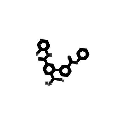 CC(N)c1ccc(C(=O)Nc2ccncc2F)cc1-c1cccc(C(=O)Oc2ccccc2)c1